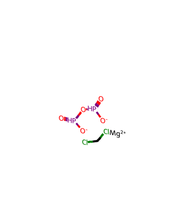 ClCCl.O=[PH]([O-])O[PH](=O)[O-].[Mg+2]